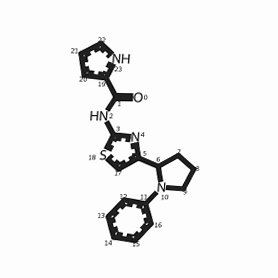 O=C(Nc1nc(C2CCCN2c2ccccc2)cs1)c1ccc[nH]1